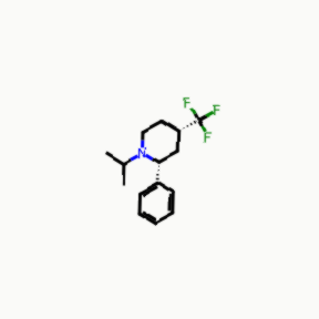 CC(C)N1CC[C@H](C(F)(F)F)C[C@@H]1c1ccccc1